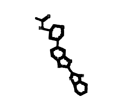 CC(=O)Nc1cncc(-c2ccc3nc(-c4nc5ccccc5[nH]4)oc3c2)c1